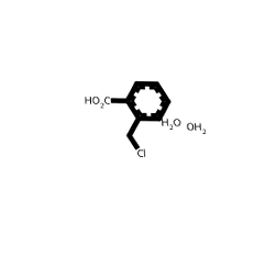 O.O.O=C(O)c1ccccc1CCl